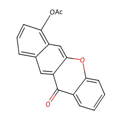 CC(=O)Oc1cccc2cc3c(=O)c4ccccc4oc3cc12